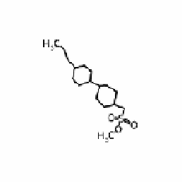 CCCC1CCC(C2CCC(CS(=O)(=O)OC)CC2)CC1